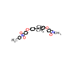 Cc1ccc(N2C(=O)c3ccc(Oc4ccc(C(C)(C)c5ccc(Oc6ccc7c(c6)CN(C)C7=O)cc5)cc4)cc3C2=O)cc1